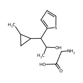 CC(O)C(c1cccs1)C1CC1C.NCC(=O)O